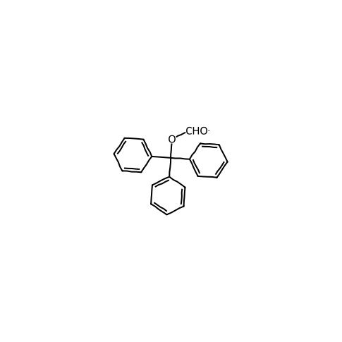 O=[C]OC(c1ccccc1)(c1ccccc1)c1ccccc1